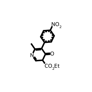 CCOC(=O)C1C=NC(C)=C(c2ccc([N+](=O)[O-])cc2)C1=O